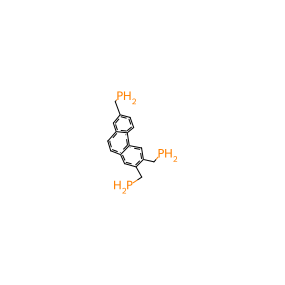 PCc1ccc2c(ccc3cc(CP)c(CP)cc32)c1